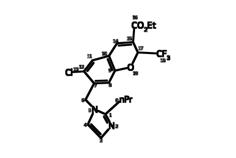 CCCc1nccn1Cc1cc2c(cc1Cl)C=C(C(=O)OCC)C(C(F)(F)F)O2